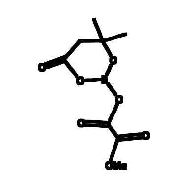 COC(=O)C(=O)OB1OC(=O)CC(C)(C)O1